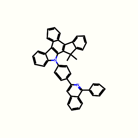 CC1(C)c2ccccc2-c2c1c1c(c3ccccc23)c2ccccc2n1-c1ccc(-c2cc3ccccc3c(-c3ccccc3)n2)cc1